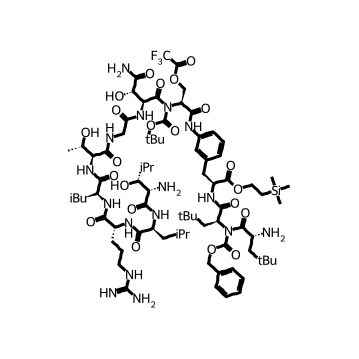 CC[C@H](C)[C@H](NC(=O)[C@@H](CCCNC(=N)N)NC(=O)[C@H](CC(C)C)NC(=O)[C@@H](N)[C@H](O)C(C)C)C(=O)N[C@H](C(=O)NCC(=O)N[C@H](C(=O)N(C(=O)OC(C)(C)C)[C@@H](COC(=O)C(F)(F)F)C(=O)Nc1cccc(C[C@H](NC(=O)[C@H](CC(C)(C)C)N(C(=O)OCc2ccccc2)C(=O)[C@H](N)CC(C)(C)C)C(=O)OCC[Si](C)(C)C)c1)[C@H](O)C(N)=O)[C@H](C)O